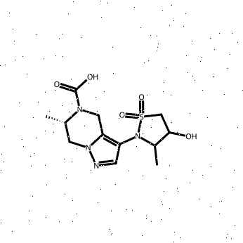 CC1C(O)CS(=O)(=O)N1c1cnn2c1CN(C(=O)O)[C@@H](C)C2